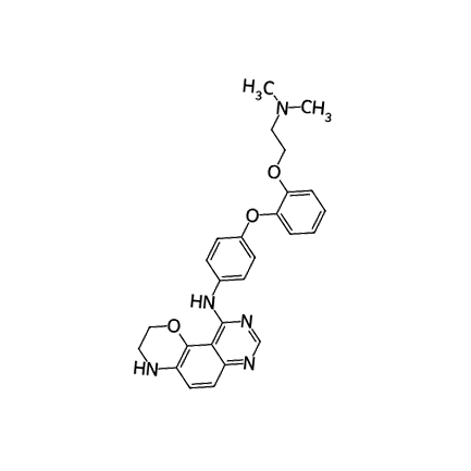 CN(C)CCOc1ccccc1Oc1ccc(Nc2ncnc3ccc4c(c23)OCCN4)cc1